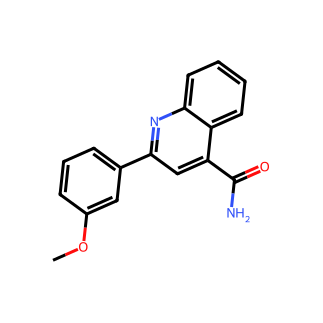 COc1cccc(-c2cc(C(N)=O)c3ccccc3n2)c1